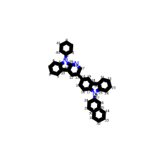 c1ccc(-n2c3ccccc3c3cc(-c4ccc5c(c4)c4ccccc4n5-c4ccc5ccccc5c4)cnc32)cc1